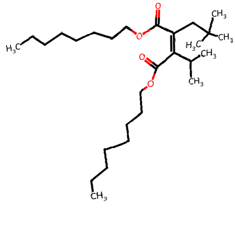 CCCCCCCCOC(=O)C(CC(C)(C)C)=C(C(=O)OCCCCCCCC)C(C)C